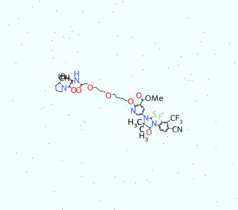 COC(=O)c1cc(N2C(=S)N(c3ccc(C#N)c(C(F)(F)F)c3F)C(=O)C2(C)C)cnc1OCCCCOCCCOCC(=O)NC(C(=O)N1CCCC1C)C(C)(C)C